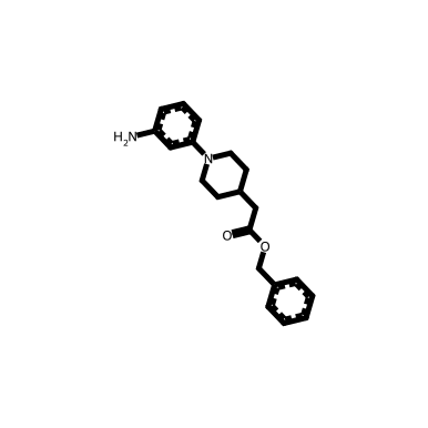 Nc1cccc(N2CCC(CC(=O)OCc3ccccc3)CC2)c1